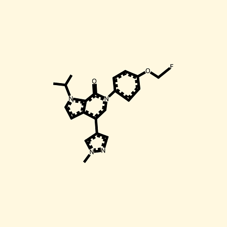 CC(C)n1ccc2c(-c3cnn(C)c3)cn(-c3ccc(OCF)cc3)c(=O)c21